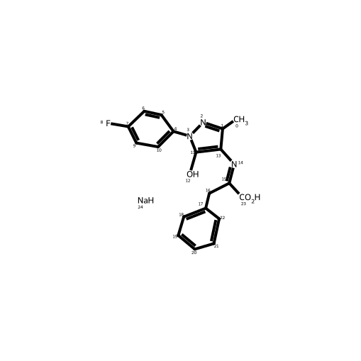 Cc1nn(-c2ccc(F)cc2)c(O)c1N=C(Cc1ccccc1)C(=O)O.[NaH]